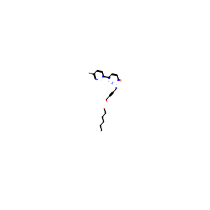 CCCCCCCOCC#CCn1nc(-c2ccc(Cl)cn2)ccc1=O